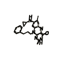 C=c1nc2c(c(=O)[nH]1)=Nc1cc(C)c(NC3CC3)cc1N2CCCc1ccccc1